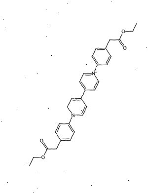 CCOC(=O)Cc1ccc(N2C=CC(c3cc[n+](-c4ccc(CC(=O)OCC)cc4)cc3)=CC2)cc1